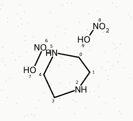 C1CNCCN1.O=[N+]([O-])O.O=[N+]([O-])O